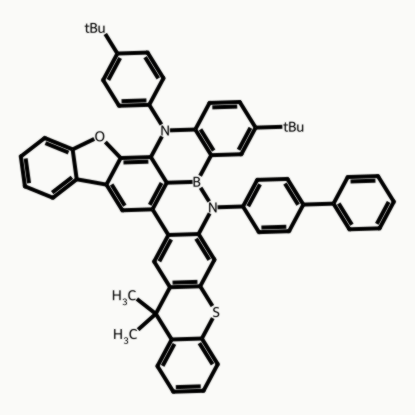 CC(C)(C)c1ccc(N2c3ccc(C(C)(C)C)cc3B3c4c(cc5c(oc6ccccc65)c42)-c2cc4c(cc2N3c2ccc(-c3ccccc3)cc2)Sc2ccccc2C4(C)C)cc1